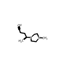 C#CCCC(=C)N1CCN(C)CC1